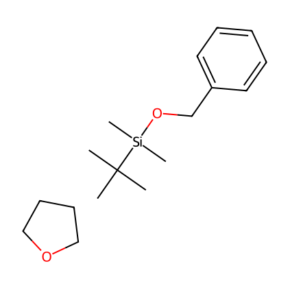 C1CCOC1.CC(C)(C)[Si](C)(C)OCc1ccccc1